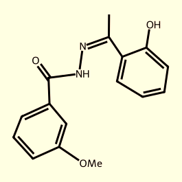 COc1cccc(C(=O)NN=C(C)c2ccccc2O)c1